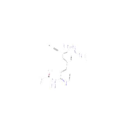 CC(C)C(=O)Nc1cc(-c2cc(C#CC(C)(C)C)c3[nH]nc(N)c3c2)ccn1